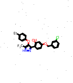 CCc1ccc(Oc2c(-c3ccc(OCc4cccc(Cl)c4)cc3O)n[nH]c2C(F)(F)F)cc1